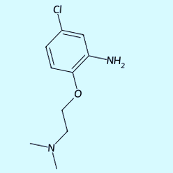 CN(C)CCOc1ccc(Cl)cc1N